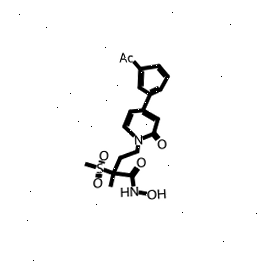 CC(=O)c1cccc(-c2ccn(CCC(C)(C(=O)NO)S(C)(=O)=O)c(=O)c2)c1